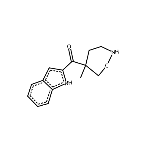 CC1(C(=O)c2cc3ccccc3[nH]2)CCNCC1